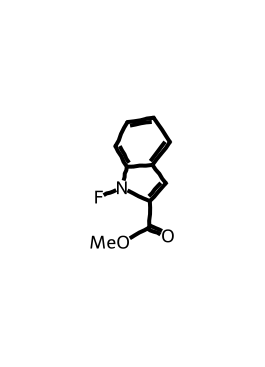 COC(=O)c1cc2ccccc2n1F